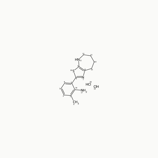 Cc1cccc(-c2nc3c(s2)NCCCC3)c1N.Cl.Cl